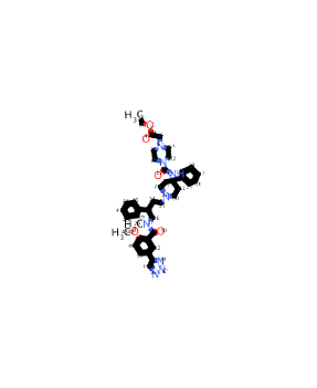 CCOC(=O)CN1CCN(C(=O)NC2(c3ccccc3)CCN(CCC(CN(C)C(=O)c3cc(C4C=NN=N4)ccc3OC)c3ccccc3)CC2)CC1